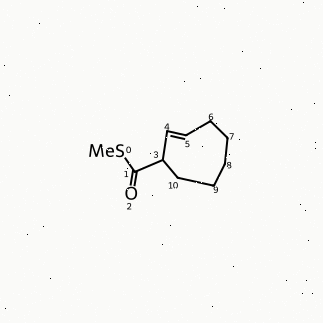 CSC(=O)C1/C=C/CCCCC1